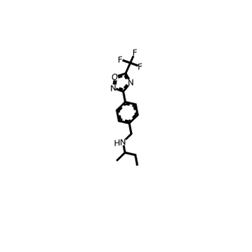 CCC(C)NCc1ccc(-c2noc(C(F)(F)F)n2)cc1